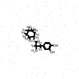 [2H]C(N)(C(=O)OC1([2H])C([2H])([2H])C([2H])([2H])C([2H])([2H])C([2H])([2H])C1([2H])[2H])C([2H])([2H])c1ccc(O)c(O)c1